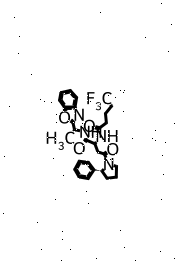 CC(NC(=O)C(CC(=O)N1CCC[C@@H]1c1ccccc1)NC(=O)CCCC(F)(F)F)c1nc2ccccc2o1